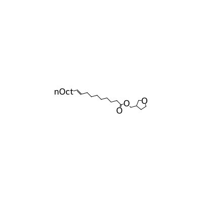 CCCCCCCC/C=C/CCCCCCCC(=O)OCC1CCOC1